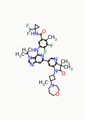 Cc1c(C(=O)NC2(C(F)F)CC2)cc(Nc2nc(-c3cnc4c(c3)N([C@H]3C[C@@](C)(N5CCCOCC5)C3)C(=O)C4(C)C)cc3ncn(C(C)C)c23)c(F)c1F